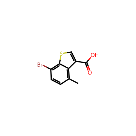 Cc1ccc(Br)c2scc(C(=O)O)c12